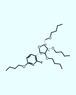 CCCCOC[C@H]1O[C@@H](c2ccc(OCCCC)nc2F)C(OCCCC)[C@H]1OCCCC